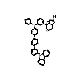 C[C@H]1CC2C[C@@H]3C=C2C(c2cccc(N(c4ccccc4)c4ccc(-c5ccc(-c6cccc(-n7c8ccccc8c8ccccc87)c6)cc5)cc4)c2)(C1)C3